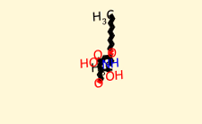 CCCCCCCCCOC(CC)CC(CCCC=O)(NCCO)C(=O)O